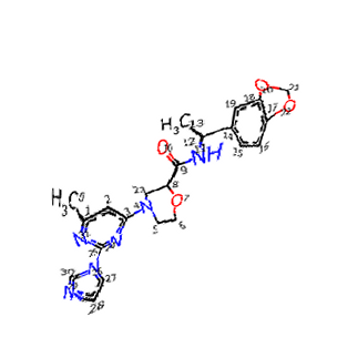 Cc1cc(N2CCOC(C(=O)NC(C)c3ccc4c(c3)OCO4)C2)nc(-n2ccnc2)n1